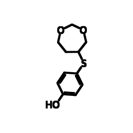 Oc1ccc(SC2CCOCOC2)cc1